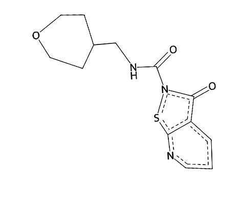 O=C(NCC1CCOCC1)n1sc2ncccc2c1=O